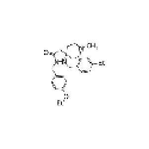 CCOc1ccc(CN2C(=O)CC3(CCN(C)CC3)N2Cc2ccc(CC)cc2)cc1